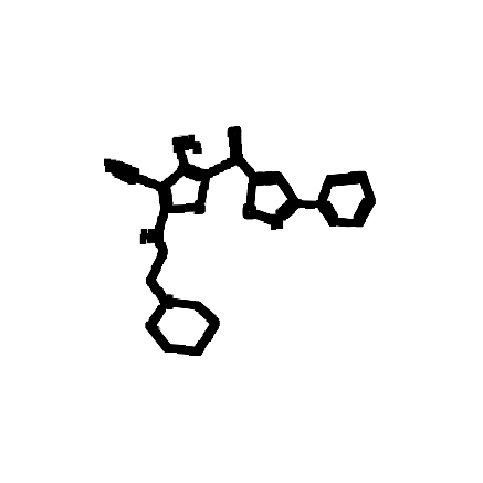 N#Cc1c(NCCN2CCCCC2)sc(C(=O)c2cc(-c3ccccc3)no2)c1N